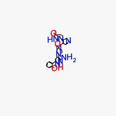 Nc1nnc(-c2ccccc2O)cc1N1CCN(Cc2ccncc2N2CCC(=O)NC2=O)CC1